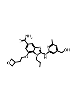 CCCn1c(Nc2cc(CO)cc(C)n2)nc2cc(C(N)=O)cc(OCCC3COC3)c21